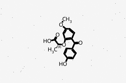 COc1ccc(C(=O)c2ccc(O)cc2)c(O[C@H](C)C(=O)O)c1